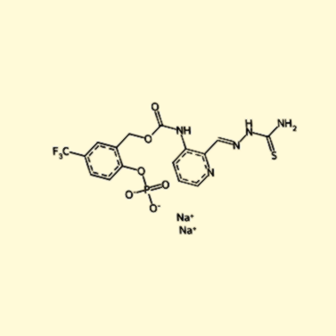 NC(=S)NN=Cc1ncccc1NC(=O)OCc1cc(C(F)(F)F)ccc1OP(=O)([O-])[O-].[Na+].[Na+]